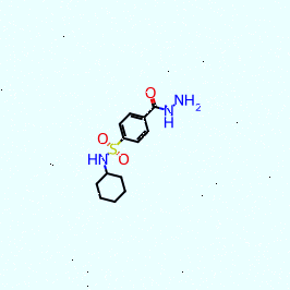 NNC(=O)c1ccc(S(=O)(=O)NC2CCCCC2)cc1